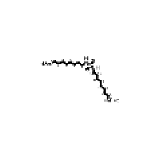 CCCCCCCCCCCCCCCCCCNS(=O)(=O)NCCCCCCCCCCCCCCCCCC